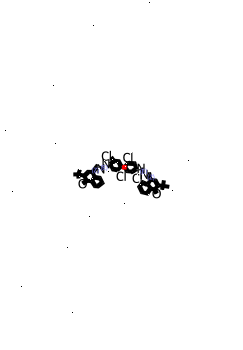 CC(C)(C)C1=C/C(=C/N=N/c2cc(Cl)c(-c3cc(Cl)c(/N=N/C=C4/C=C(C(C)(C)C)C(=O)c5ccccc54)cc3Cl)cc2Cl)c2ccccc2C1=O